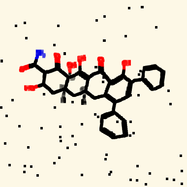 NC(=O)C1C(=O)[C@@]2(O)C(O)=C3C(=O)c4c(O)c(-c5ccccc5)cc(-c5ccccc5)c4C[C@H]3C[C@H]2CC1O